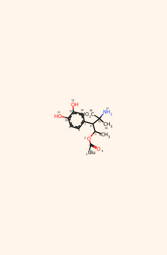 CC(OC(=O)C(C)(C)C)C(c1ccc(O)c(O)c1)C(C)(N)C(=O)O